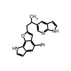 CC(C)c1cc2cc[nH]c2c2oc(CC(C)c3cnc4[nH]ccc4c3)cc12